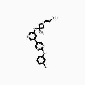 CC1(Nc2cncc(-c3cnc(Oc4cccc(Cl)c4)nc3)c2)CN(C=CC=O)C1